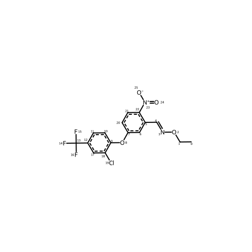 CCON=Cc1cc(Oc2ccc(C(F)(F)F)cc2Cl)ccc1[N+](=O)[O-]